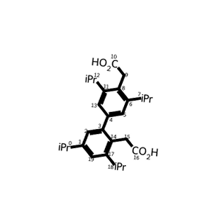 CC(C)c1cc(-c2cc(C(C)C)c(CC(=O)O)c(C(C)C)c2)c(CC(=O)O)c(C(C)C)c1